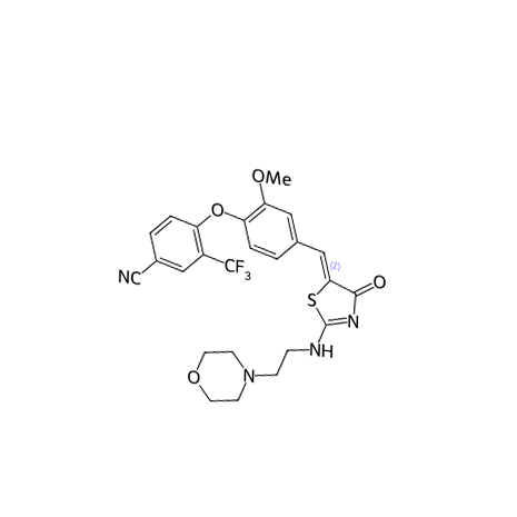 COc1cc(/C=C2\SC(NCCN3CCOCC3)=NC2=O)ccc1Oc1ccc(C#N)cc1C(F)(F)F